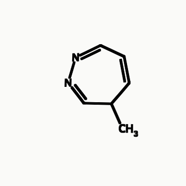 CC1C=CC=NN=C1